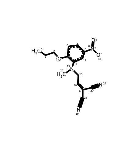 CCCOc1ccc([N+](=O)[O-])cc1N(C)CC=C(C#N)C#N